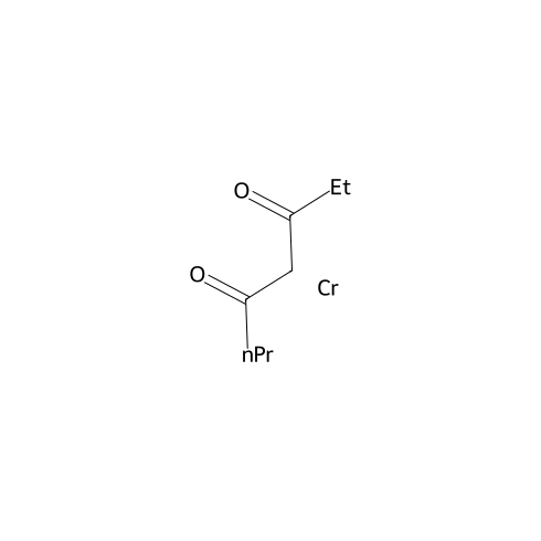 CCCC(=O)CC(=O)CC.[Cr]